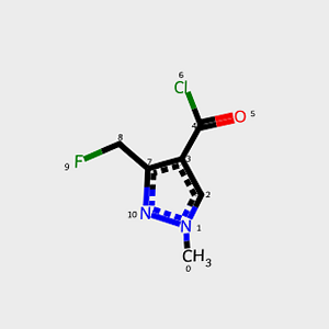 Cn1cc(C(=O)Cl)c(CF)n1